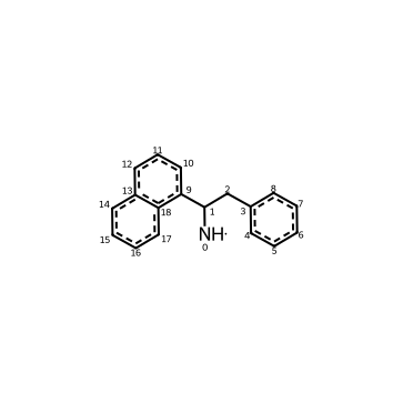 [NH]C(Cc1ccccc1)c1cccc2ccccc12